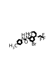 Cc1ccc(NC(=O)Nc2cc(Br)cc3c2OCC=C[C@@H]3CCC(F)(F)F)cc1